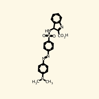 CN(C)c1ccc(N=Nc2ccc(S(=O)(=O)NC3C(C(=O)O)=Nc4ccccc43)cc2)cc1